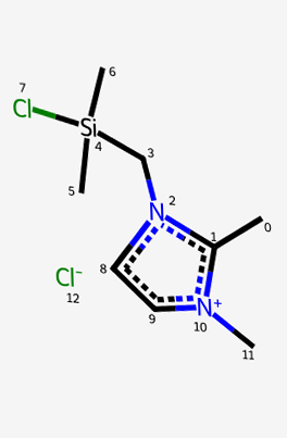 Cc1n(C[Si](C)(C)Cl)cc[n+]1C.[Cl-]